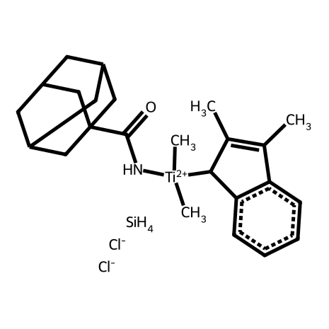 CC1=C(C)[CH]([Ti+2]([CH3])([CH3])[NH]C(=O)C23CC4CC(CC(C4)C2)C3)c2ccccc21.[Cl-].[Cl-].[SiH4]